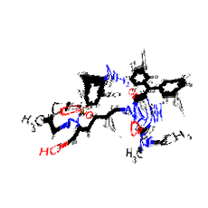 CC(C)CN(C(CO)CCCCNC(=O)[C@@H](NC(=O)N(C)C)C(c1ccccc1)c1ccccc1)S(=O)(=O)c1ccc(N)cc1